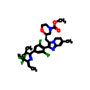 C/C=C(\N=C(\c1cc(F)c(-c2nc3cc(C)ccn3c2C[C@H]2CN(C(=O)OC)CCO2)c(F)c1)C(C)C)C(F)(F)F